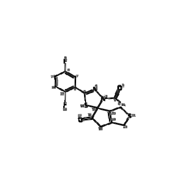 CC(=O)N1N=C(c2cc(F)ccc2F)SC12C(=O)CC1=C2CSC1